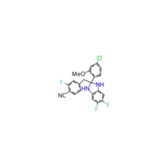 COc1cc(Cl)ccc1C1(Cc2ccc(C#N)c(F)c2)Nc2cc(F)c(F)cc2N1